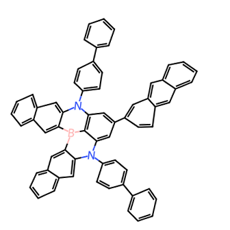 c1ccc(-c2ccc(N3c4cc5ccccc5cc4B4c5cc6ccccc6cc5N(c5ccc(-c6ccccc6)cc5)c5cc(-c6ccc7cc8ccccc8cc7c6)cc3c54)cc2)cc1